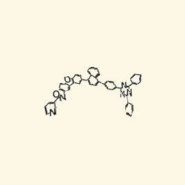 c1ccc(-c2nc(-c3ccccc3)nc(-c3ccc(-c4ccc(-c5ccc6oc7cc8oc(-c9cccnc9)nc8cc7c6c5)c5ccccc45)cc3)n2)cc1